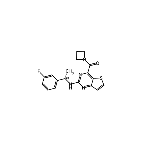 C[C@H](Nc1nc(C(=O)N2CCC2)c2sccc2n1)c1cccc(F)c1